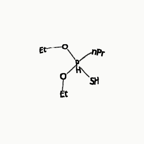 CCC[PH](S)(OCC)OCC